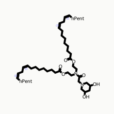 CCCCC/C=C\C/C=C\CCCCCCCC(=O)OCCN(CCOC(=O)CCCCCCC/C=C\C/C=C\CCCCC)C(=O)CN1CC(O)CC(O)C1